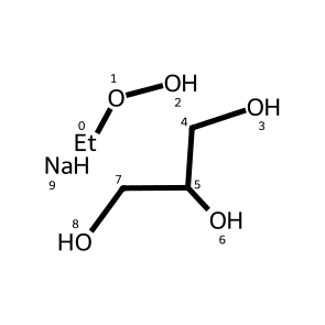 CCOO.OCC(O)CO.[NaH]